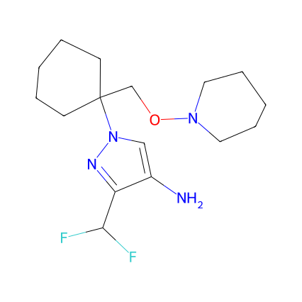 Nc1cn(C2(CON3CCCCC3)CCCCC2)nc1C(F)F